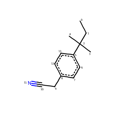 CCC(C)(C)c1ccc(CC#N)cc1